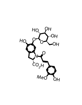 COc1cc(/C=C/C(=O)N2c3cc(O[C@@H]4O[C@H](CO)[C@@H](O)[C@H](O)[C@H]4O)c(O)cc3C[C@H]2C(=O)O)ccc1O